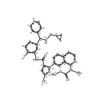 CC(C)(C)OC(=O)N(c1nccc2ccc(-n3nc(C(F)(F)F)cc3C(=O)Nc3cc(C(NCC4CC4)c4ccncc4)ccc3F)cc12)C(C)(C)C